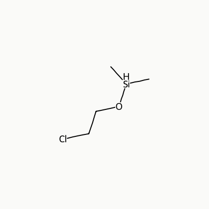 C[SiH](C)OCCCl